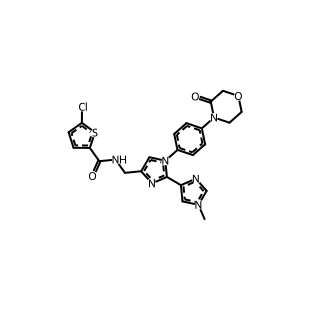 Cn1cnc(-c2nc(CNC(=O)c3ccc(Cl)s3)cn2-c2ccc(N3CCOCC3=O)cc2)c1